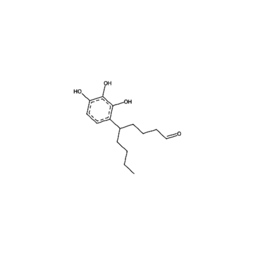 CCCCC(CCCC=O)c1ccc(O)c(O)c1O